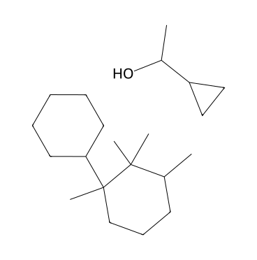 CC(O)C1CC1.CC1CCCC(C)(C2CCCCC2)C1(C)C